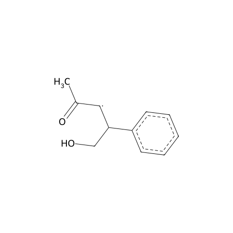 CC(=O)[CH]C(CO)c1ccccc1